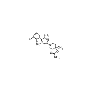 Cc1nc(N2CCC(C)(OC(N)=O)CC2)cc(C#N)c1-c1cccc(Cl)c1Cl